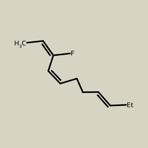 C/C=C(F)\C=C/CCC=CCC